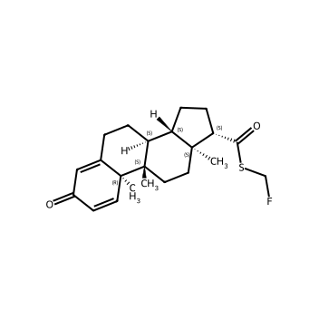 C[C@]12CC[C@@]3(C)[C@@H](CCC4=CC(=O)C=C[C@@]43C)[C@@H]1CC[C@@H]2C(=O)SCF